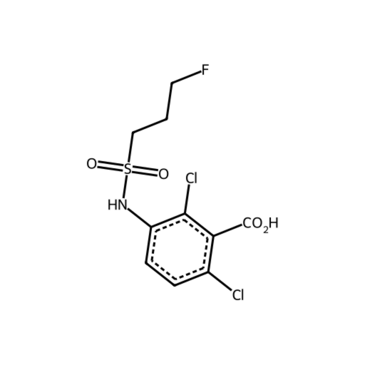 O=C(O)c1c(Cl)ccc(NS(=O)(=O)CCCF)c1Cl